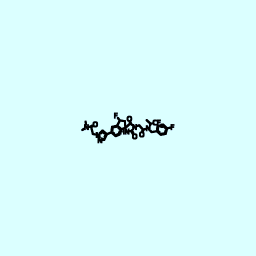 C[C@H](N(Cc1ccc(F)cc1)C(=O)CN1C(=O)NC2(CC(F)c3cc(-c4cnn(CC(=O)N(C)C)c4)ccc32)C1=O)C(F)(F)F